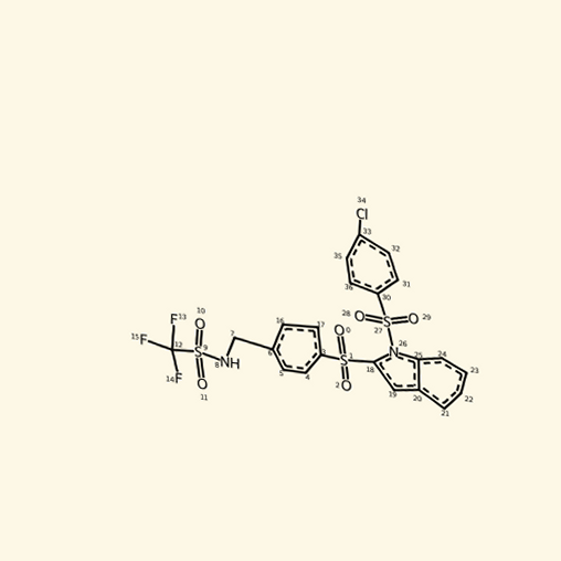 O=S(=O)(c1ccc(CNS(=O)(=O)C(F)(F)F)cc1)c1cc2ccccc2n1S(=O)(=O)c1ccc(Cl)cc1